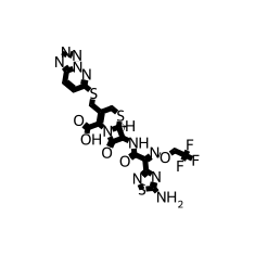 Nc1nc(C(=NOCC(F)(F)F)C(=O)NC2C(=O)N3C(C(=O)O)=C(CSc4ccc5nnnn5n4)CS[C@@H]23)ns1